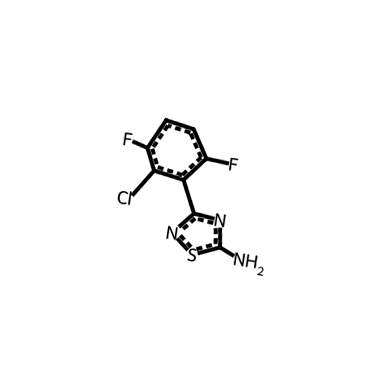 Nc1nc(-c2c(F)ccc(F)c2Cl)ns1